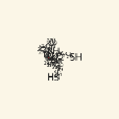 SCCCc1ccc([Si](Cn2ccnc2BC(c2ccccc2)c2ccccc2)(c2ccccc2)c2ccc(CCCS)cc2)cc1